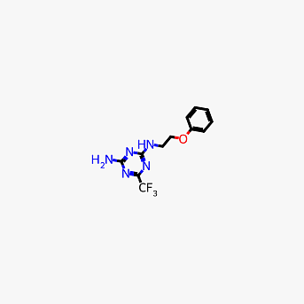 Nc1nc(NCCOc2ccccc2)nc(C(F)(F)F)n1